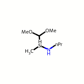 CCCN[SiH](C)C(OC)OC